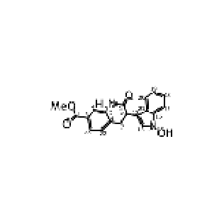 COC(=O)c1ccc(CC(C(N)=O)c2cn(O)c3ccccc23)cc1